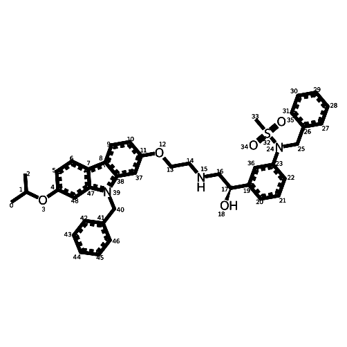 CC(C)Oc1ccc2c3ccc(OCCNC[C@H](O)c4cccc(N(Cc5ccccc5)S(C)(=O)=O)c4)cc3n(Cc3ccccc3)c2c1